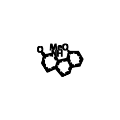 COc1cccc2ccc3ccc(=O)[nH]c3c12